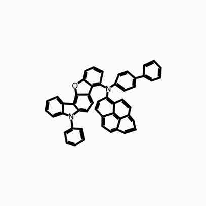 c1ccc(-c2ccc(N(c3ccc4ccc5cccc6ccc3c4c56)c3cccc4oc5c(ccc6c5c5ccccc5n6-c5ccccc5)c34)cc2)cc1